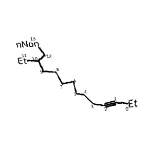 [CH2]CC#CCCCCCCCC(CC)CCCCCCCCC[CH2]